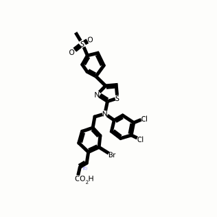 CS(=O)(=O)c1ccc(-c2csc(N(Cc3ccc(/C=C/C(=O)O)c(Br)c3)c3ccc(Cl)c(Cl)c3)n2)cc1